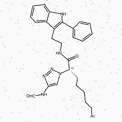 CC(=O)CCCCC[C@@H](C(=O)NCCc1c(-c2ccccc2)[nH]c2ccccc12)n1cc(NC=O)nn1